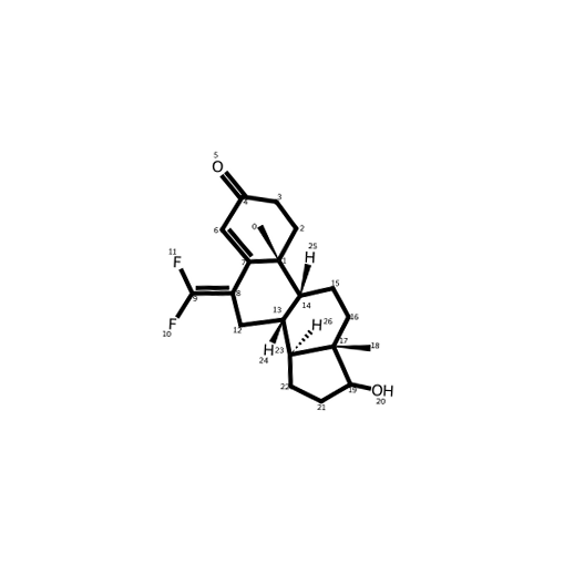 C[C@]12CCC(=O)C=C1C(=C(F)F)C[C@@H]1[C@H]2CC[C@]2(C)C(O)CC[C@@H]12